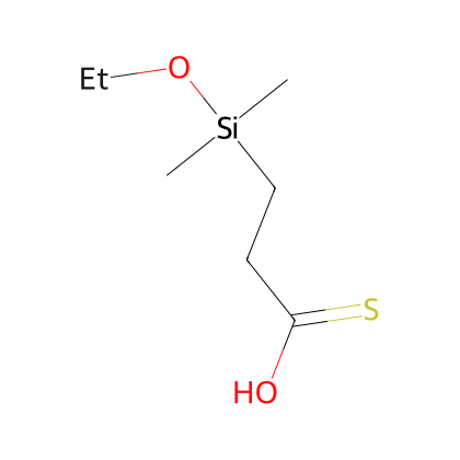 CCO[Si](C)(C)CCC(O)=S